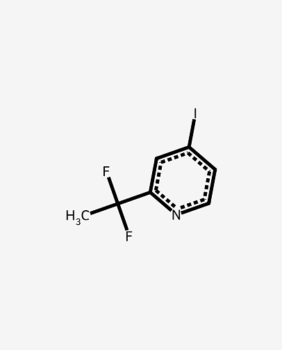 CC(F)(F)c1cc(I)ccn1